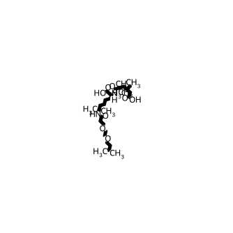 CCC(C)(CC(=O)O)CC(C)(C)C(=O)N[C@@H](CCCCC(C)(C)NC(=O)CCOCCOCCC(C)C)C(=O)O